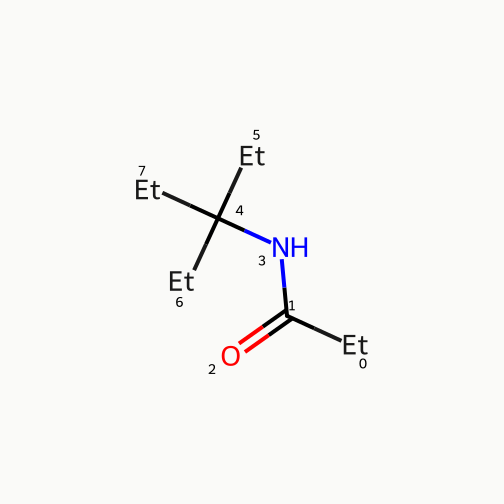 CCC(=O)NC(CC)(CC)CC